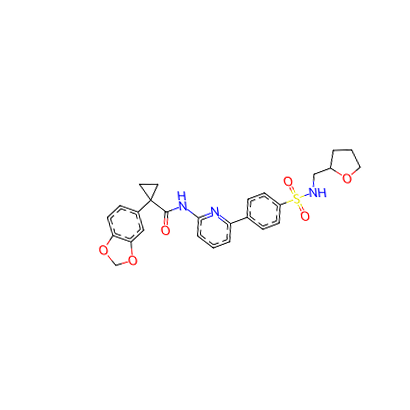 O=C(Nc1cccc(-c2ccc(S(=O)(=O)NCC3CCCO3)cc2)n1)C1(c2ccc3c(c2)OCO3)CC1